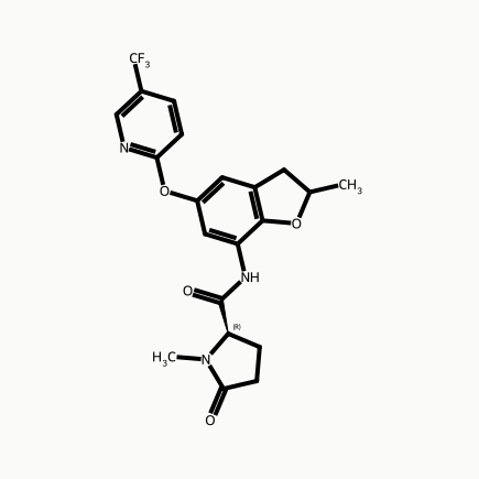 CC1Cc2cc(Oc3ccc(C(F)(F)F)cn3)cc(NC(=O)[C@H]3CCC(=O)N3C)c2O1